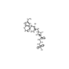 CCc1cc2c(s1)CCO[C@@]21CCN(CC2CN(C(=O)CCCS(C)(=O)=O)C2)[C@@H](C)C1